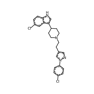 Clc1ccc(-n2cc(CCN3CCC(c4c[nH]c5ccc(Cl)cc45)CC3)cn2)cc1